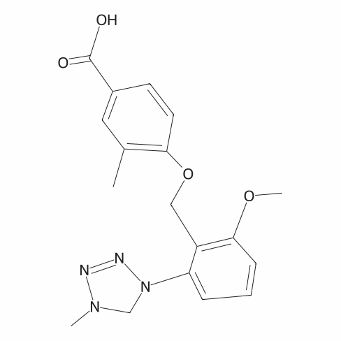 COc1cccc(N2CN(C)N=N2)c1COc1ccc(C(=O)O)cc1C